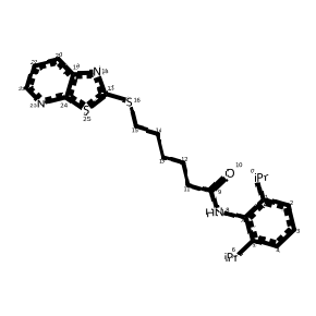 CC(C)c1cccc(C(C)C)c1NC(=O)CCCCCSc1nc2cccnc2s1